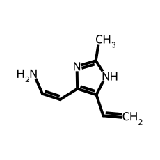 C=Cc1[nH]c(C)nc1/C=C\N